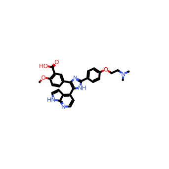 COc1ccc(-c2nc(-c3ccc(OCCN(C)C)cc3)[nH]c2-c2ccnc3[nH]ccc23)cc1C(=O)O